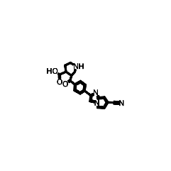 N#Cc1ccn2cc(-c3ccc(C(=O)C4CNCCC4C(=O)O)cc3)nc2c1